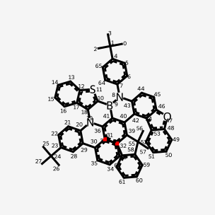 CC(C)(C)c1ccc(N2B3c4sc5ccccc5c4N(c4ccc(C(C)(C)C)cc4-c4ccccc4)c4cc5c(c(c43)-c3c2ccc2oc4ccccc4c32)C(C)(C)c2ccccc2-5)cc1